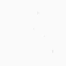 CCOC(CO)OCCI